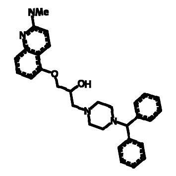 CNc1ccc2c(OCC(O)CN3CCN(C(c4ccccc4)c4ccccc4)CC3)cccc2n1